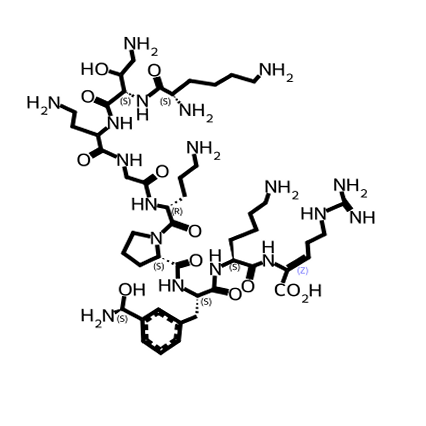 N=C(N)NCC/C=C(\NC(=O)[C@H](CCCCN)NC(=O)[C@H](Cc1cccc([C@@H](N)O)c1)NC(=O)[C@@H]1CCCN1C(=O)[C@@H](CCCN)NC(=O)CNC(=O)C(CCN)NC(=O)[C@@H](NC(=O)[C@@H](N)CCCCN)C(O)CN)C(=O)O